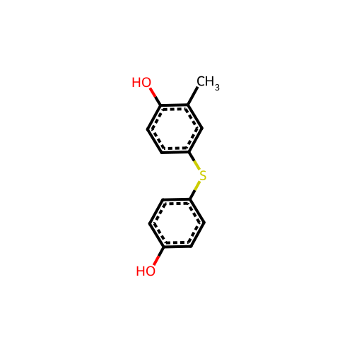 Cc1cc(Sc2ccc(O)cc2)ccc1O